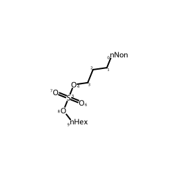 CCCCCCCCCCCCOS(=O)(=O)OCCCCCC